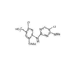 CNc1nc(Nc2cc(Cl)c(C(=O)O)cc2OC)ncc1Cl